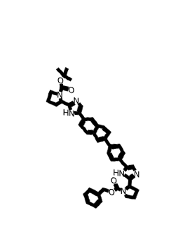 CC(C)(C)OC(=O)N1CCCC1c1ncc(-c2ccc3cc(-c4ccc(-c5cnc(C6CCCN6C(=O)OCc6ccccc6)[nH]5)cc4)ccc3c2)[nH]1